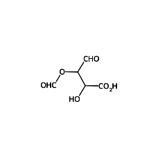 O=COC(C=O)C(O)C(=O)O